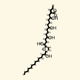 CCCCCCCCCCCC[C@@H](O)[C@H]1CC[C@H]([C@H](O)CCC(O)CCCC(O)CCCC(O)CC2=CC(C)OC2=O)O1